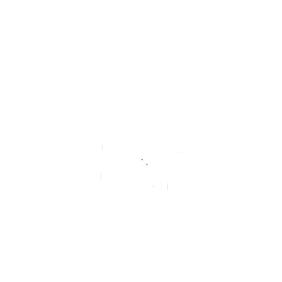 C[N+](C)(C)CCO.[Cu]